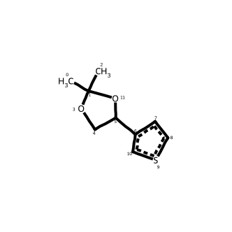 CC1(C)OCC(c2ccsc2)O1